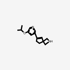 CC(C)Oc1cncc(C2=CC3(CC2)CNC3)c1